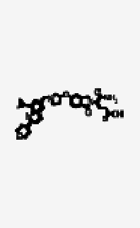 NC(=O)C(CCC(=O)O)N1Cc2cc(OC3CCN(Cc4cc(C5CC5)c5nc(C6CCOCC6)ccc5c4)C3)ccc2C1=O